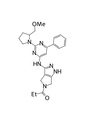 CCC(=O)N1Cc2[nH]nc(Nc3cc(-c4ccccc4)nc(N4CCCC4COC)n3)c2C1